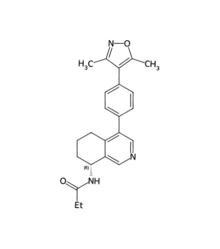 CCC(=O)N[C@@H]1CCCc2c(-c3ccc(-c4c(C)noc4C)cc3)cncc21